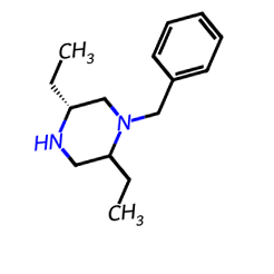 CCC1CN[C@H](CC)CN1Cc1ccccc1